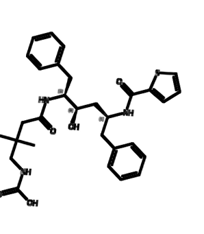 CC(C)(CNC(=O)O)CC(=O)N[C@@H](Cc1ccccc1)[C@H](O)C[C@H](Cc1ccccc1)NC(=O)c1cccs1